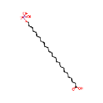 O=C(O)CCCCCCCCCCCCCCCCCCCCCCCCCOP(=O)(O)O